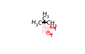 CC(C)(C)BB(OI)OI